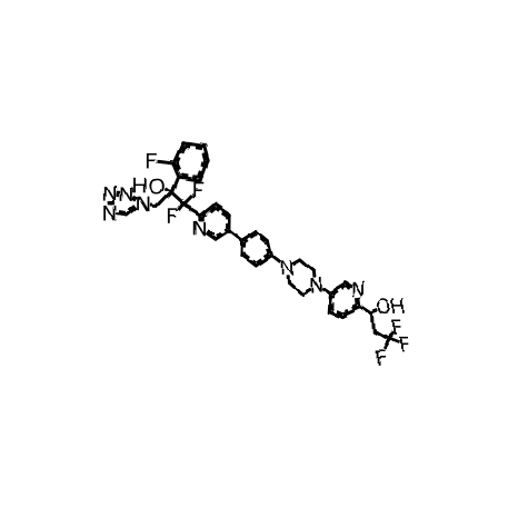 OC(CC(F)(F)F)c1ccc(N2CCN(c3ccc(-c4ccc(C(F)(F)[C@](O)(Cn5cnnn5)c5ccccc5F)nc4)cc3)CC2)cn1